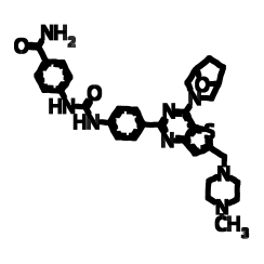 CN1CCN(Cc2cc3nc(-c4ccc(NC(=O)Nc5ccc(C(N)=O)cc5)cc4)nc(N4CC5CCC(C4)O5)c3s2)CC1